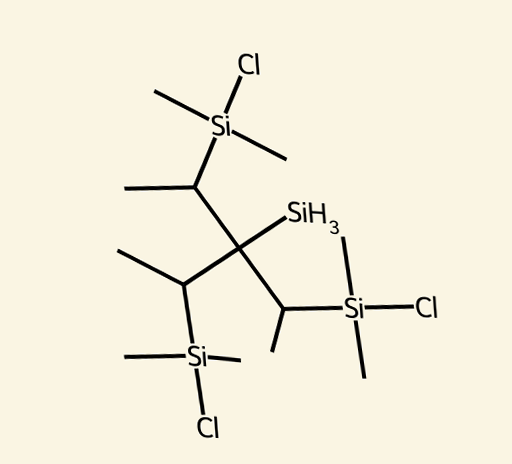 CC(C([SiH3])(C(C)[Si](C)(C)Cl)C(C)[Si](C)(C)Cl)[Si](C)(C)Cl